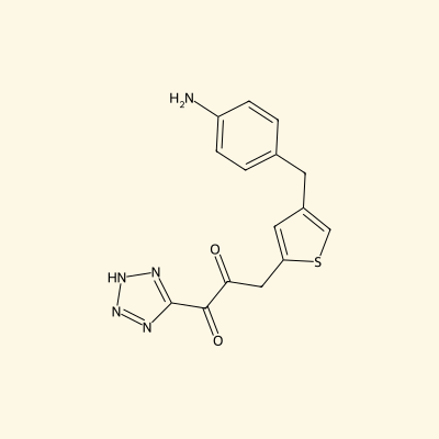 Nc1ccc(Cc2csc(CC(=O)C(=O)c3nn[nH]n3)c2)cc1